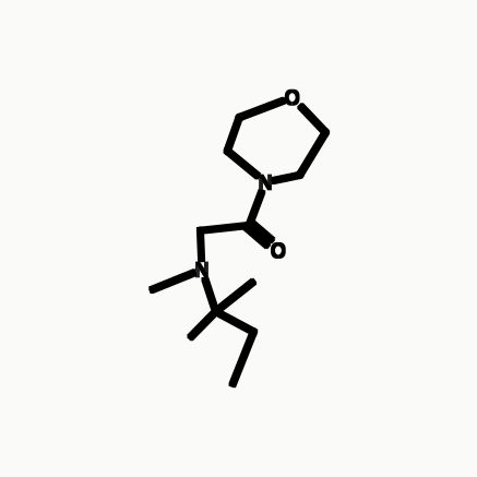 CCC(C)(C)N(C)CC(=O)N1CCOCC1